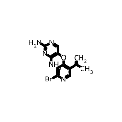 C=C(C)c1cnc(Br)cc1Oc1cnc(N)nc1N